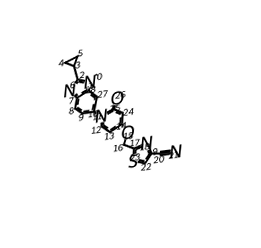 Cn1c(C2CC2)nc2ccc(-n3ccc(OCc4nc(C#N)cs4)cc3=O)cc21